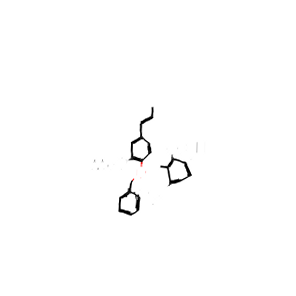 CC=Cc1ccc(OCc2ccccc2)c(OC)c1.Cc1c(C(=O)O)cccc1C(=O)O